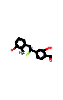 Cc1c(Br)cccc1/C=C(\F)c1ccc(C=O)c(O)c1